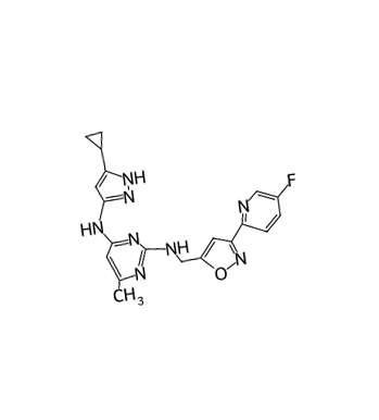 Cc1cc(Nc2cc(C3CC3)[nH]n2)nc(NCc2cc(-c3ccc(F)cn3)no2)n1